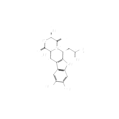 Cc1cc2c3c([nH]c2cc1O)[C@H](CC(C)C)N1C(=O)[C@H](C)NC(=O)[C@@H]1C3